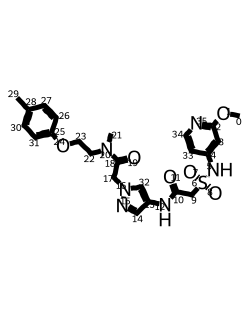 COc1cc(NS(=O)(=O)CC(=O)Nc2cnn(CC(=O)N(C)CCOc3ccc(C)cc3)c2)ccn1